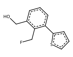 OCc1cccc(-c2cccs2)c1CF